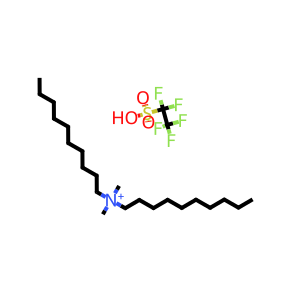 CCCCCCCCCC[N+](C)(C)CCCCCCCCCC.O=S(=O)(O)C(F)(F)C(F)(F)F